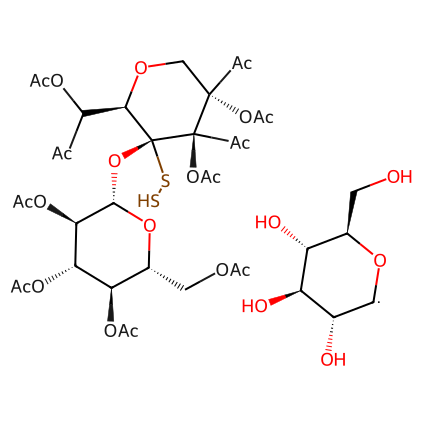 CC(=O)OC[C@H]1O[C@@H](O[C@@]2(SS)[C@@H](C(OC(C)=O)C(C)=O)OC[C@@](OC(C)=O)(C(C)=O)[C@]2(OC(C)=O)C(C)=O)[C@H](OC(C)=O)[C@@H](OC(C)=O)[C@@H]1OC(C)=O.OC[C@H]1O[CH][C@H](O)[C@@H](O)[C@@H]1O